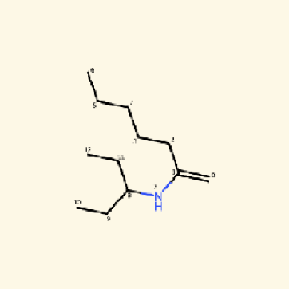 C=C(CCCCC)NC(CC)CC